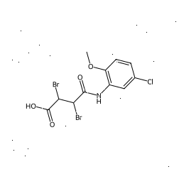 COc1ccc(Cl)cc1NC(=O)C(Br)C(Br)C(=O)O